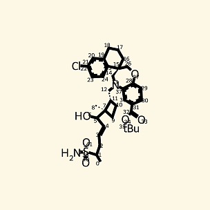 CC(C/C=C/C(O)[C@]1(C)CC[C@H]1CN1C[C@@]2(CCCc3cc(Cl)ccc32)COc2ccc(C(=O)OC(C)(C)C)cc21)S(N)(=O)=O